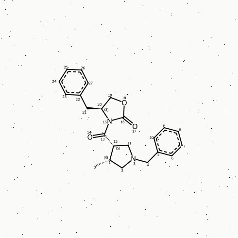 C[C@H]1CN(Cc2ccccc2)C[C@H]1C(=O)N1C(=O)OC[C@@H]1Cc1ccccc1